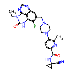 CCN1C(=O)Nc2c(F)c(CN3CCN(c4ccc(C(=O)NC5(C#N)CC5)nc4C)CC3)cc3ncnc1c23